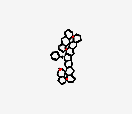 C1=C2C(CC3=C1C1(c4ccccc4C3)c3ccccc3Cc3ccccc31)c1cc3c(cc1N2c1ccccc1)C1(c2ccccc2Cc2ccccc21)c1ccccc1C3